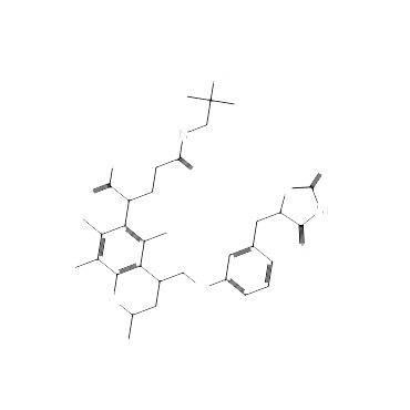 Cc1c(C)c(C(CCC(=O)NCC(C)(C)S)C(=O)O)c(C)c2c1OC(C)CC2COc1cccc(CC2SC(=O)NC2=O)c1